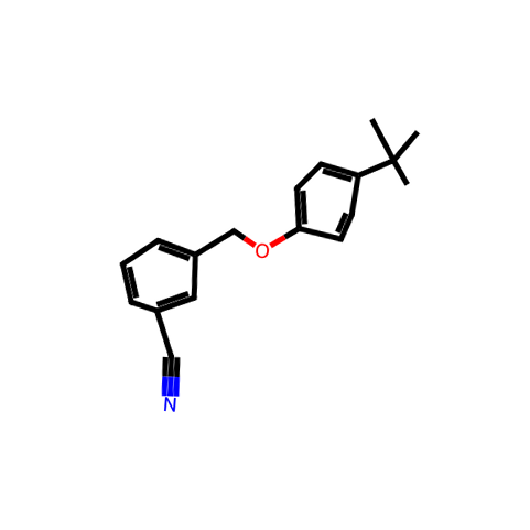 CC(C)(C)c1ccc(OCc2cccc(C#N)c2)cc1